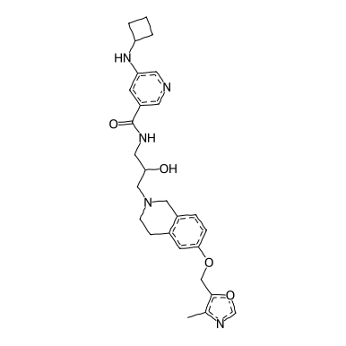 Cc1ncoc1COc1ccc2c(c1)CCN(CC(O)CNC(=O)c1cncc(NC3CCC3)c1)C2